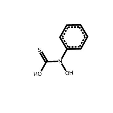 OC(=S)N(O)c1ccccc1